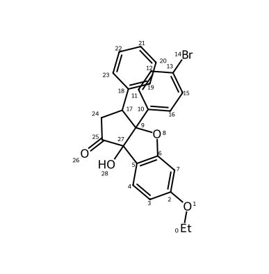 CCOc1ccc2c(c1)OC1(c3ccc(Br)cc3)C(c3ccccc3)CC(=O)C21O